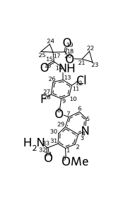 COc1cc2nccc(Oc3cc(Cl)c(NC(=O)C4(C(=O)OC5CC5)CC4)cc3F)c2cc1C(N)=O